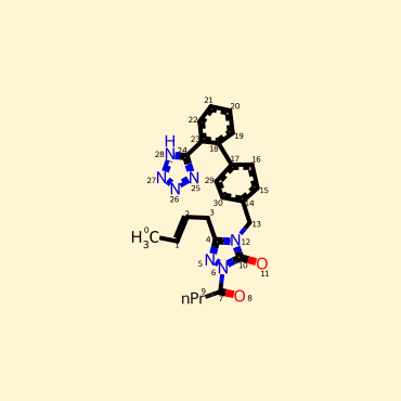 C/C=C/Cc1nn(C(=O)CCC)c(=O)n1Cc1ccc(-c2ccccc2-c2nnn[nH]2)cc1